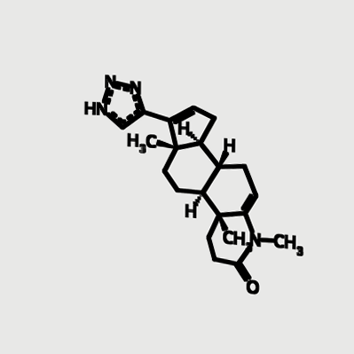 CN1C(=O)CC[C@@]2(C)C1=CC[C@@H]1[C@@H]2CC[C@]2(C)C(c3c[nH]nn3)=CC[C@@H]12